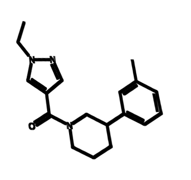 CCn1cc(C(=O)N2CCCC(c3cccc(C)c3)C2)cn1